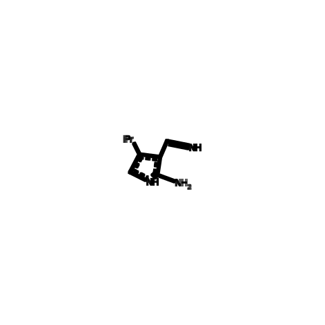 CC(C)c1c[nH]c(N)c1C=N